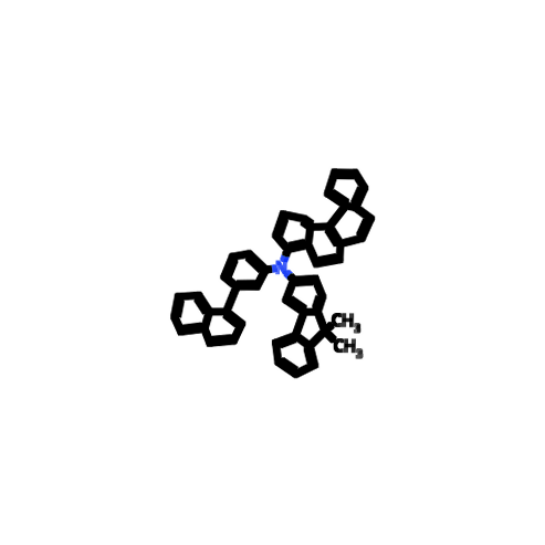 CC1(C)c2ccccc2-c2cc(N(c3cccc(-c4cccc5ccccc45)c3)c3cccc4c3ccc3ccc5ccccc5c34)ccc21